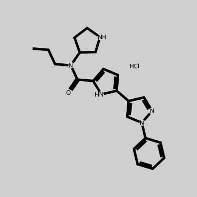 CCCN(C(=O)c1ccc(-c2cnn(-c3ccccc3)c2)[nH]1)C1CCNC1.Cl